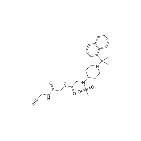 C#CCNC(=O)CNC(=O)CN(C1CCN(C2(c3cccc4ccccc34)CC2)CC1)S(C)(=O)=O